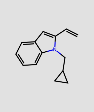 C=Cc1cc2ccccc2n1CC1CC1